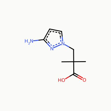 CC(C)(Cn1ccc(N)n1)C(=O)O